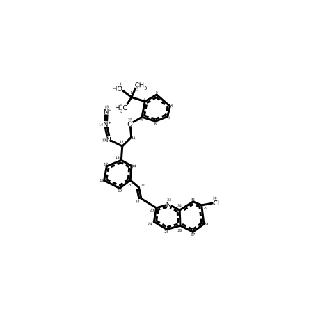 CC(C)(O)c1ccccc1OCC(N=[N+]=[N-])c1cccc(C=Cc2ccc3ccc(Cl)cc3n2)c1